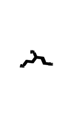 CC(=O)/C=C/C(CCC(C)=O)C(C)C